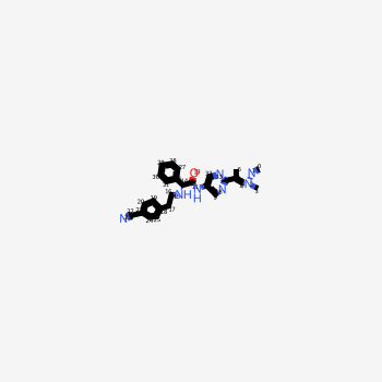 C=NN(C)/C=C(\C)c1ncc(NC(=O)[C@H](NCCc2ccc(C#N)cc2)c2ccccc2)cn1